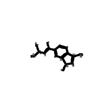 CC(=N[S+]([O-])C(C)(C)C)c1ccc2c(C#N)nn(C)c2c1